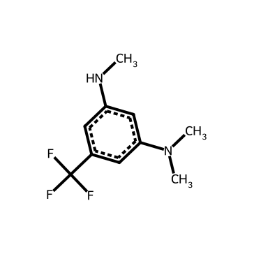 CNc1cc(N(C)C)cc(C(F)(F)F)c1